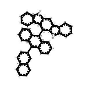 c1ccc2cc(-c3c4ccccc4c(-c4c5oc6ccccc6c5cc5oc6ccccc6c45)c4ccccc34)ccc2c1